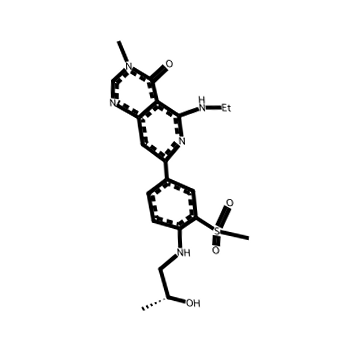 CCNc1nc(-c2ccc(NC[C@@H](C)O)c(S(C)(=O)=O)c2)cc2ncn(C)c(=O)c12